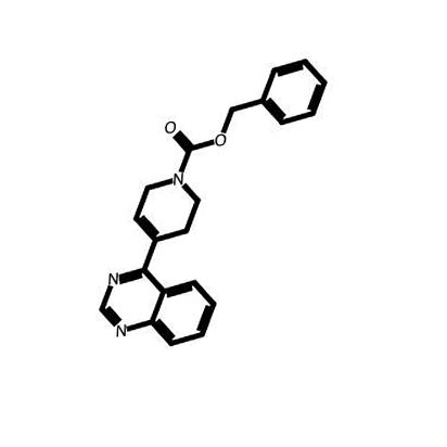 O=C(OCc1ccccc1)N1CC=C(c2ncnc3ccccc23)CC1